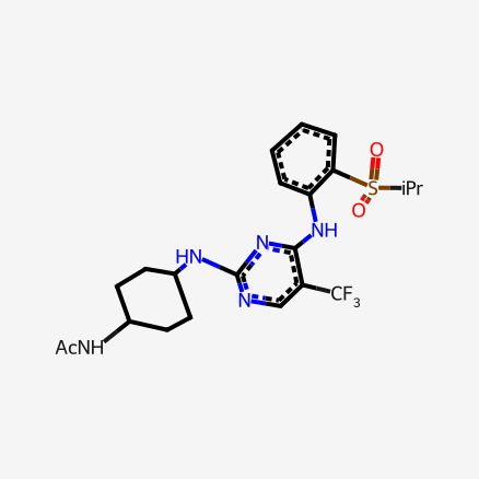 CC(=O)NC1CCC(Nc2ncc(C(F)(F)F)c(Nc3ccccc3S(=O)(=O)C(C)C)n2)CC1